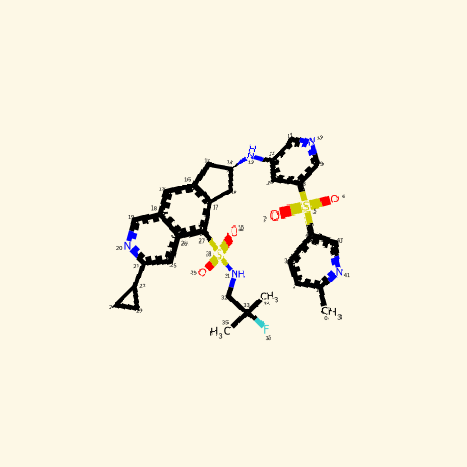 Cc1ccc(S(=O)(=O)c2cncc(N[C@@H]3Cc4cc5cnc(C6CC6)cc5c(S(=O)(=O)NCC(C)(C)F)c4C3)c2)cn1